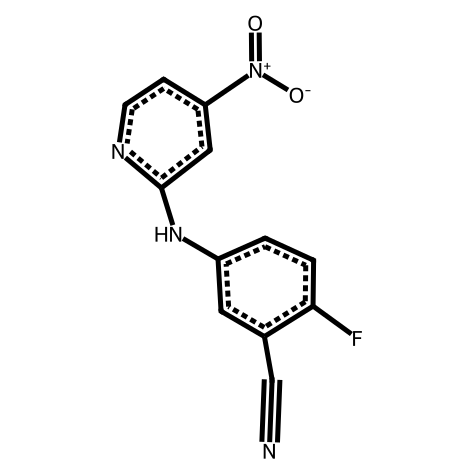 N#Cc1cc(Nc2cc([N+](=O)[O-])ccn2)ccc1F